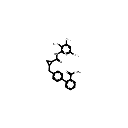 COC(=O)c1ccccc1-c1ccc(CC2CC2C(=O)Nc2nc(C)cc(C)c2[N+](=O)[O-])cc1